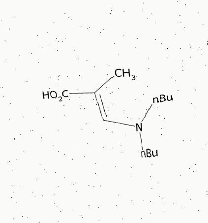 CCCCN(C=C(C)C(=O)O)CCCC